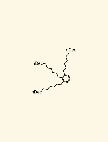 CCCCCCCCCCCCCCCCc1c[c]cc(CCCCCCCCCCCCCCCC)c1CCCCCCCCCCCCCCCC